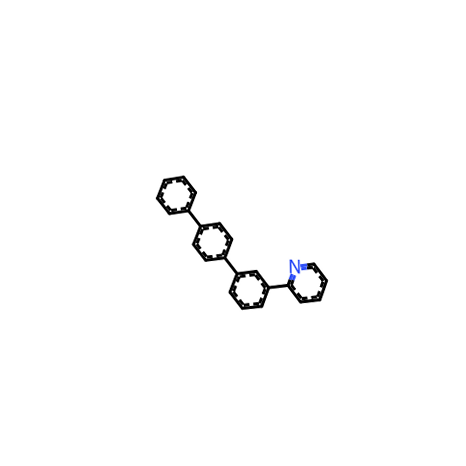 c1ccc(-c2ccc(-c3cccc(-c4ccccn4)c3)cc2)cc1